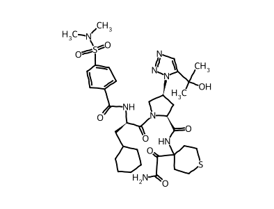 CN(C)S(=O)(=O)c1ccc(C(=O)N[C@H](CC2CCCCC2)C(=O)N2C[C@@H](n3nncc3C(C)(C)O)C[C@H]2C(=O)NC2(C(=O)C(N)=O)CCSCC2)cc1